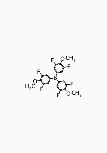 COc1c(F)cc(B(c2cc(F)c(OC)c(F)c2)c2cc(F)c(OC)c(F)c2)cc1F